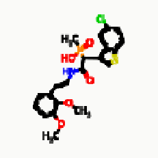 COc1cccc(C=CNC(=O)C(c2csc3ccc(Cl)cc23)P(C)(=O)O)c1OC